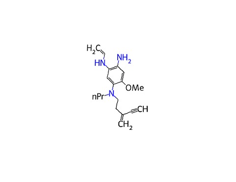 C#CC(=C)CCN(CCC)c1cc(NC=C)c(N)cc1OC